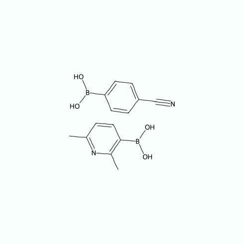 Cc1ccc(B(O)O)c(C)n1.N#Cc1ccc(B(O)O)cc1